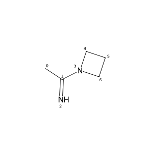 CC(=N)N1CCC1